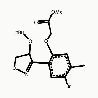 CCCCOC1CON=C1c1cc(Br)c(F)cc1OCC(=O)OC